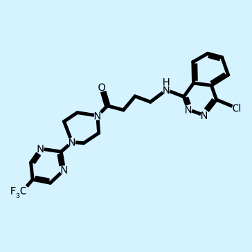 O=C(CCCNc1nnc(Cl)c2ccccc12)N1CCN(c2ncc(C(F)(F)F)cn2)CC1